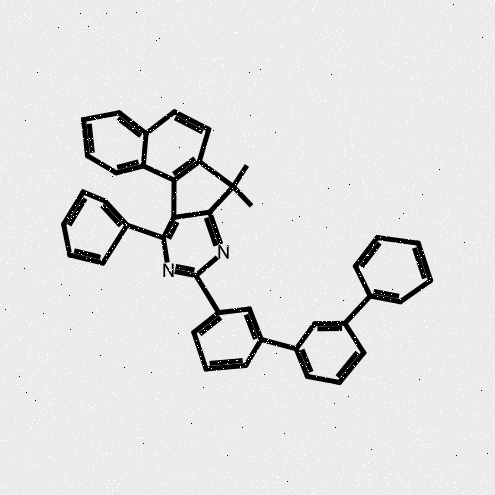 CC1(C)c2ccc3ccccc3c2-c2c(-c3ccccc3)nc(-c3cccc(-c4cccc(-c5ccccc5)c4)c3)nc21